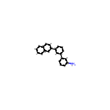 Nc1cccc(-c2cccc(-c3ccc4ccccc4c3)c2)c1